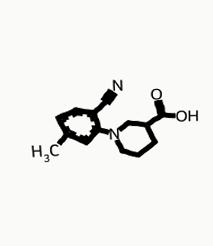 Cc1ccc(C#N)c(N2CCCC(C(=O)O)C2)c1